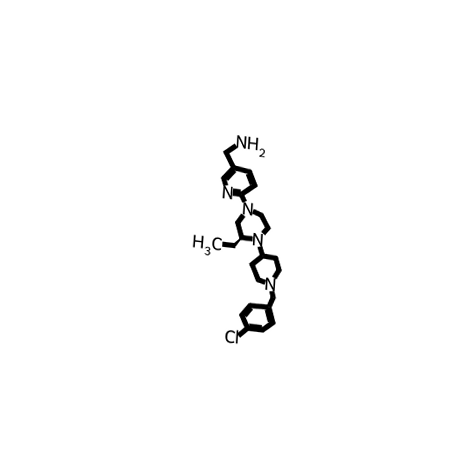 CC[C@H]1CN(c2ccc(CN)cn2)CCN1C1CCN(Cc2ccc(Cl)cc2)CC1